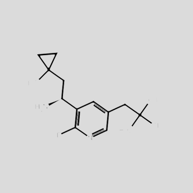 CC(C)(C)Cc1cnc(F)c([C@@H](N)CC2(O)CC2)c1